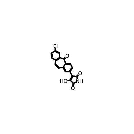 O=C1NC(=O)C(c2ccc3c(=O)c4cc(Cl)ccc4ccc3c2)=C1O